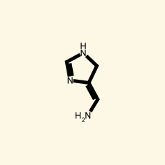 NC=C1CNC=N1